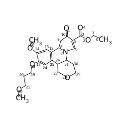 CCOC(=O)C1=CN2C(CC1=O)c1cc(OC)c(OCCCOC)cc1C1COCCC12